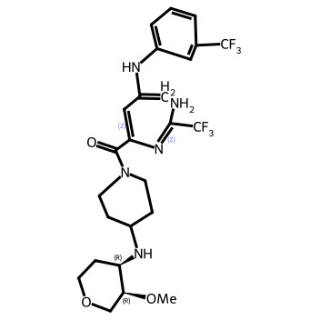 C=C(/C=C(\N=C(/N)C(F)(F)F)C(=O)N1CCC(N[C@@H]2CCOC[C@@H]2OC)CC1)Nc1cccc(C(F)(F)F)c1